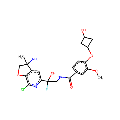 COc1cc(C(=O)NCC(O)(F)c2cc3c(c(Cl)n2)OCC3(C)N)ccc1OC1CC(O)C1